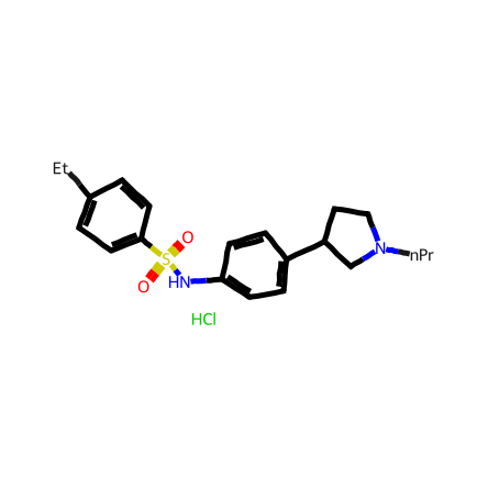 CCCN1CCC(c2ccc(NS(=O)(=O)c3ccc(CC)cc3)cc2)C1.Cl